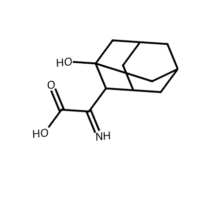 N=C(C(=O)O)C1C2CC3CC(C2)CC1(O)C3